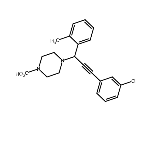 Cc1ccccc1C(C#Cc1cccc(Cl)c1)N1CCN(C(=O)O)CC1